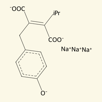 CC(C)C(C(=O)[O-])=C(Cc1ccc([O-])cc1)C(=O)[O-].[Na+].[Na+].[Na+]